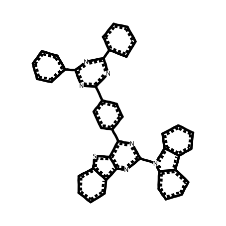 c1ccc(-c2nc(-c3ccccc3)nc(-c3ccc(-c4nc(-n5c6ccccc6c6ccccc65)nc5c4sc4ccccc45)cc3)n2)cc1